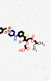 CC(C)COC(=O)c1sc(-c2cccc(NC3CCN(S(=O)(=O)Cc4ccccc4)CC3)c2)c(Br)c1OCC(=O)O